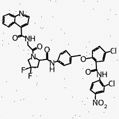 O=C(Nc1ccc([N+](=O)[O-])cc1Cl)c1cc(Cl)ccc1OCc1ccc(NC(=O)C2CC(F)(F)CN2C(=O)CNC(=O)c2ccnc3ccccc23)cc1